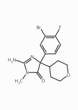 CN1C(=O)C(c2ccc(F)c(Br)c2)(C2CCOCC2)N=C1N